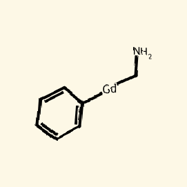 N[CH2][Gd][c]1ccccc1